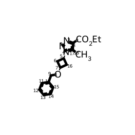 CCOC(=O)c1nnn([C@H]2C[C@@H](OCc3ccccc3)C2)c1C